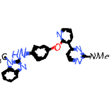 CNc1nccc(-c2cccnc2Oc2ccc(Nc3nc4ccccc4n3C)cc2)n1